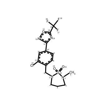 CN1CCCN(Cc2ccc(-c3noc(C(F)(F)F)n3)cc2Cl)S1(=O)=O